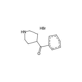 Br.O=C(c1ccccc1)C1CCNCC1